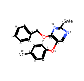 CSc1ncc(Oc2ccc(C#N)cc2)c(OCc2ccccc2)n1